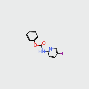 O=C(Nc1ccc(I)cn1)Oc1ccccc1